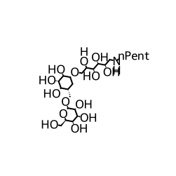 CCCCCNC[C@H](O)[C@@H](O)[C@H](O)C(O)CO[C@@H]1C[C@H](CO[C@@H]2O[C@H](CO)[C@@H](O)[C@H](O)[C@H]2O)[C@@H](O)[C@H](O)[C@H]1O